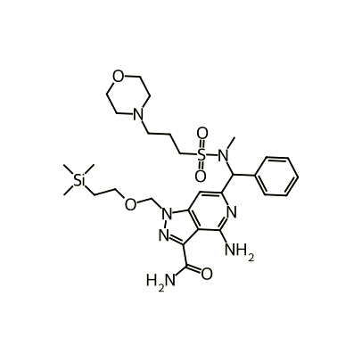 CN(C(c1ccccc1)c1cc2c(c(N)n1)c(C(N)=O)nn2COCC[Si](C)(C)C)S(=O)(=O)CCCN1CCOCC1